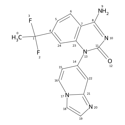 CC(F)(F)c1ccc2c(N)nc(=O)n(-c3ccn4ccnc4c3)c2c1